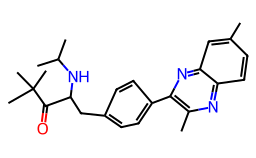 Cc1ccc2nc(C)c(-c3ccc(CC(NC(C)C)C(=O)C(C)(C)C)cc3)nc2c1